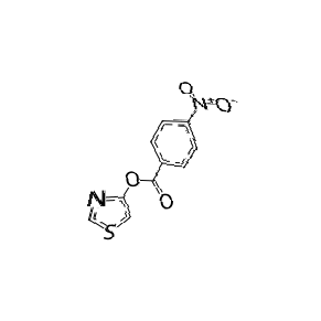 O=C(Oc1cscn1)c1ccc([N+](=O)[O-])cc1